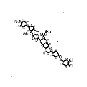 COC(=O)[C@H](Cc1ccc(-c2ccc(C#N)cc2)cc1)NC(=O)C1Cc2cc3c(cc2CN1C(=O)OC(C)(C)C)O[C@@H](c1ccc(OCc2ccc(Cl)c(Cl)c2)cc1)CN3C